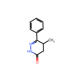 CC1CC(=O)NN=C1c1ccccc1